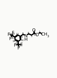 CCOC(=O)CCNCc1cc(C(F)(F)F)cc(C(F)(F)F)c1